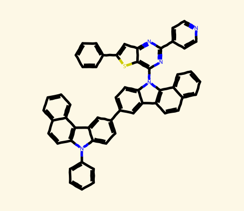 c1ccc(-c2cc3nc(-c4ccncc4)nc(-n4c5ccc(-c6ccc7c(c6)c6c8ccccc8ccc6n7-c6ccccc6)cc5c5ccc6ccccc6c54)c3s2)cc1